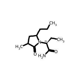 CCCC1CC(C)C(=O)N1[C@@H](CC)C(N)=O